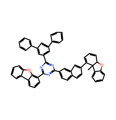 CC12C(c3ccc4ccc(-c5nc(-c6cc(-c7ccccc7)cc(-c7ccccc7)c6)nc(-c6cccc7c6oc6ccccc67)n5)cc4c3)=CC=CC1Oc1ccccc12